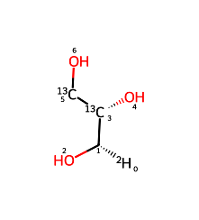 [2H][C@H](O)[13C@@H](O)[13CH2]O